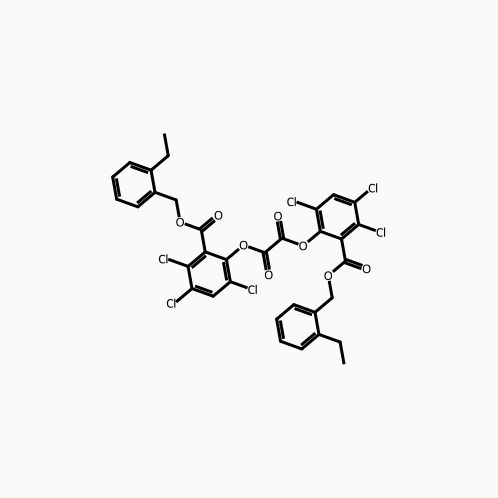 CCc1ccccc1COC(=O)c1c(Cl)c(Cl)cc(Cl)c1OC(=O)C(=O)Oc1c(Cl)cc(Cl)c(Cl)c1C(=O)OCc1ccccc1CC